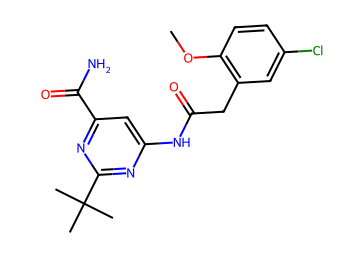 COc1ccc(Cl)cc1CC(=O)Nc1cc(C(N)=O)nc(C(C)(C)C)n1